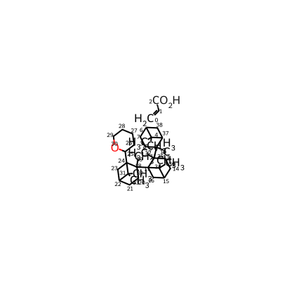 C=CC(=O)O.CC1(C)C2CCC(C)(C3(C)CCC4CC3(C3(C)CCC5CC3(C3CCCCO3)C5(C)C)C4(C)C)C1C2